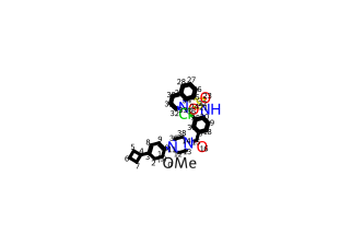 CO[C@H]1CC(C2CCC2)=CC=C1N1CCN(C(=O)c2ccc(NS(=O)(=O)c3cccc4cccnc34)c(Cl)c2)CC1